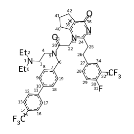 CCN(CC)CCN(Cc1ccc(-c2ccc(C(F)(F)F)cc2)cc1)C(=O)Cn1c(CCc2ccc(F)c(C(F)(F)F)c2)nc(=O)c2c1CCC2